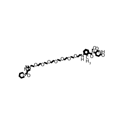 Cc1c(NCCOCCOCCOCCOCCOCCOCCOCCn2cc(C(=O)N3CCCCC3)nn2)cccc1C(=O)N(C=O)C1CCC(=O)NC1=O